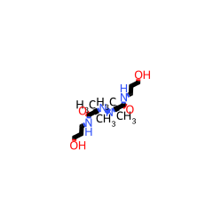 CC(C)(N=NC(C)(C)C(=O)NCCCO)C(=O)NCCCO